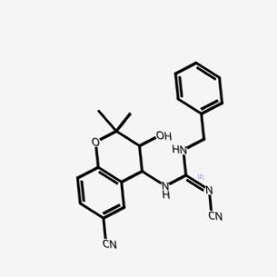 CC1(C)Oc2ccc(C#N)cc2C(N/C(=N\C#N)NCc2ccccc2)C1O